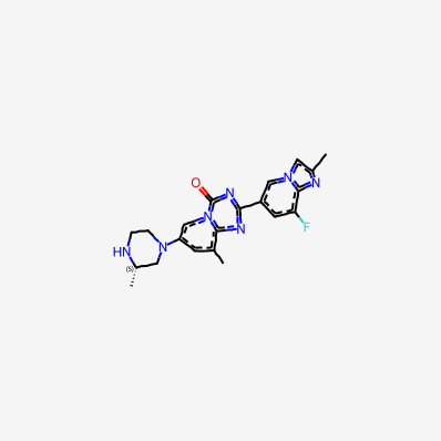 Cc1cn2cc(-c3nc(=O)n4cc(N5CCN[C@@H](C)C5)cc(C)c4n3)cc(F)c2n1